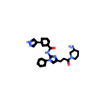 NC1CCCN(C(=O)CCc2cn(-c3ccccc3)c(NC(=O)c3cccc(-c4cn[nH]c4)c3)n2)C1